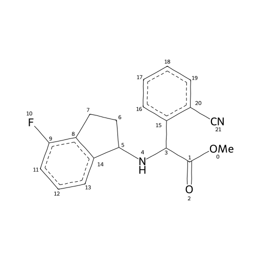 COC(=O)C(NC1CCc2c(F)cccc21)c1ccccc1C#N